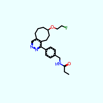 CCC(=O)NCc1ccc(-c2nncc3c2CCC(OCCF)CCC3)cc1